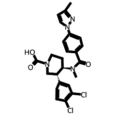 Cc1ccn(-c2ccc(C(=O)N(C)[C@@H]3CCN(C(=O)O)C[C@H]3c3ccc(Cl)c(Cl)c3)cc2)n1